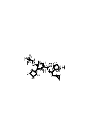 O=C(NC(CC1CC1)c1cc[nH]n1)c1cnc(OCC(F)(F)F)c(C2CCCC2)c1